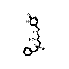 O=c1ccc(CNC[C@@H](O)CP(=O)(O)Cc2ccccc2)c[nH]1